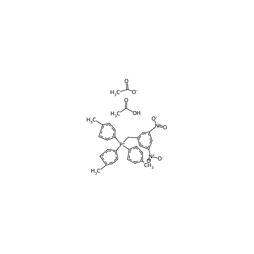 CC(=O)O.CC(=O)[O-].Cc1ccc([P+](Cc2cc([N+](=O)[O-])cc([N+](=O)[O-])c2)(c2ccc(C)cc2)c2ccc(C)cc2)cc1